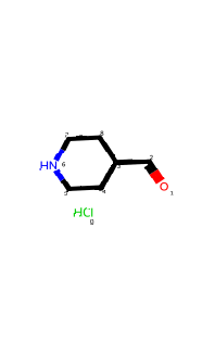 Cl.O=CC1CCNCC1